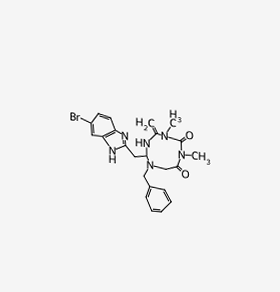 C=C1NC(Cc2nc3ccc(Br)cc3[nH]2)N(Cc2ccccc2)CC(=O)N(C)C(=O)N1C